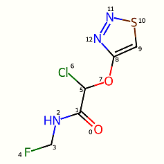 O=C(NCF)C(Cl)Oc1csnn1